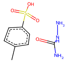 Cc1ccc(S(=O)(=O)O)cc1.NNC(N)=O